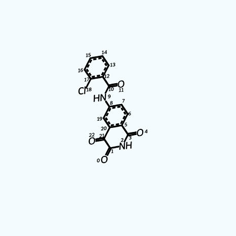 O=C1NC(=O)c2ccc(NC(=O)c3ccccc3Cl)cc2C1=O